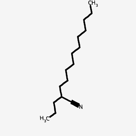 CCCCCCCCCCCC(C#N)CCC